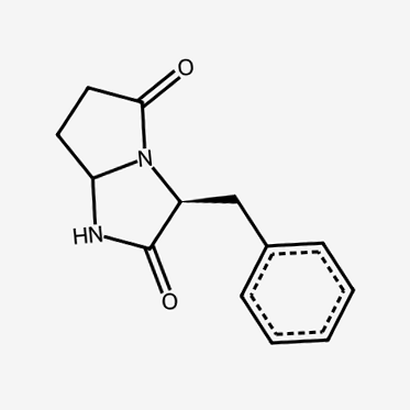 O=C1NC2CCC(=O)N2[C@H]1Cc1ccccc1